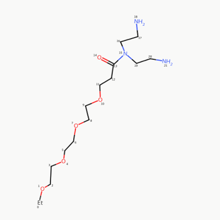 CCOCCOCCOCCOCCC(=O)N(CCN)CCN